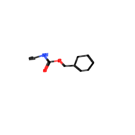 CC(C)(C)NC(=O)OCC1CCCCC1